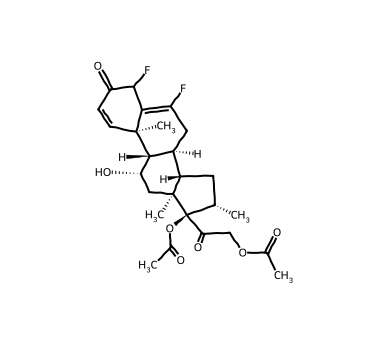 CC(=O)OCC(=O)[C@@]1(OC(C)=O)[C@@H](C)C[C@H]2[C@@H]3CC(F)=C4C(F)C(=O)C=C[C@]4(C)[C@H]3[C@@H](O)C[C@@]21C